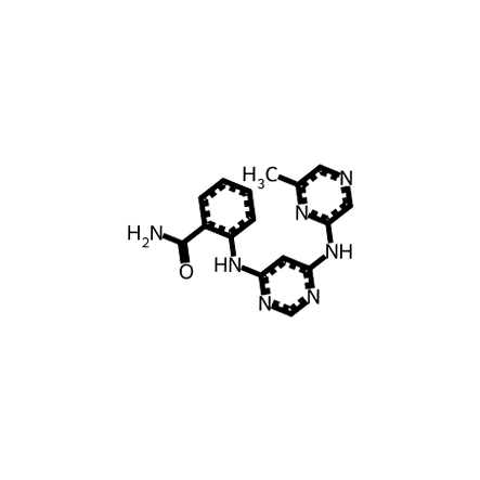 Cc1cncc(Nc2cc(Nc3ccccc3C(N)=O)ncn2)n1